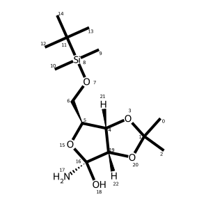 CC1(C)O[C@H]2[C@H](CO[Si](C)(C)C(C)(C)C)O[C@](N)(O)[C@H]2O1